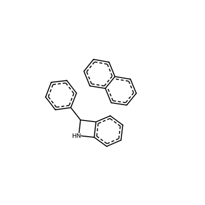 c1ccc(C2Nc3ccccc32)cc1.c1ccc2ccccc2c1